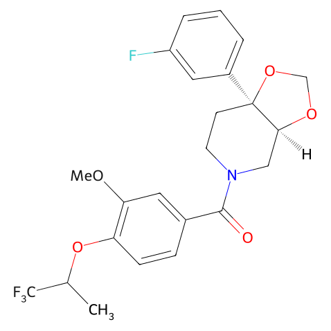 COc1cc(C(=O)N2CC[C@@]3(c4cccc(F)c4)OCO[C@H]3C2)ccc1OC(C)C(F)(F)F